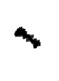 CCc1cc(Nc2ncc(Br)c(Nc3ccc4nccnc4c3P(C)(C)=O)n2)c(OC)cc1N1CCC(NCCNCCc2ccc(NC3CCC(=O)NC3=O)c(F)c2)CC1